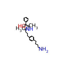 C[C@H](N[C@@H](C)CCCc1ccc(CCCCN)cc1)[C@H](O)c1ccccc1